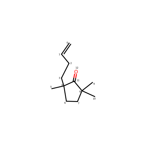 C=CCCC1(C)CCC(C)(C)C1=O